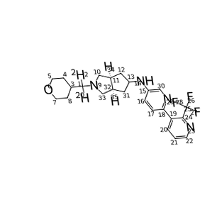 [2H]C([2H])(C1CCOCC1)N1C[C@H]2CC(Nc3ccc(-c4cccnc4C(F)(F)F)nc3)C[C@H]2C1